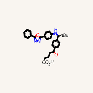 CCCCC(Nc1ccc(-c2nnc(-c3ccccc3)o2)cc1)c1ccc(C(=O)CCCC(=O)O)cc1